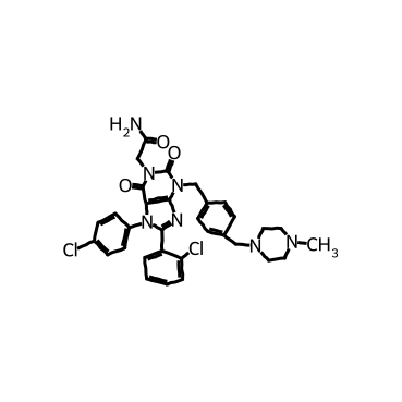 CN1CCN(Cc2ccc(Cn3c(=O)n(CC(N)=O)c(=O)c4c3nc(-c3ccccc3Cl)n4-c3ccc(Cl)cc3)cc2)CC1